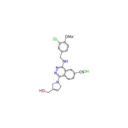 COc1ccc(CNc2nnc(N3CC=C(CO)C3)c3ccc(C#N)cc23)cc1Cl.Cl